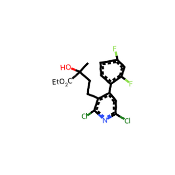 CCOC(=O)C(C)(O)CCc1c(-c2ccc(F)cc2F)cc(Cl)nc1Cl